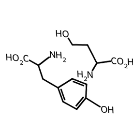 NC(CCO)C(=O)O.NC(Cc1ccc(O)cc1)C(=O)O